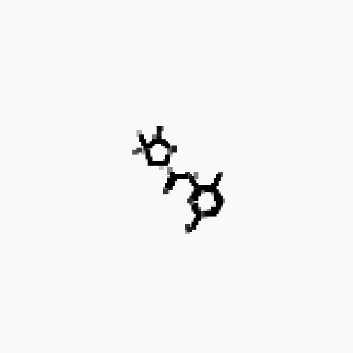 Cc1ccc(Br)nc1NC(=O)[C@@H]1C[C@@](C)(I)[C@@H](I)N1